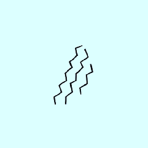 CCCCCC.CCCCCCCCCC.CCCCCCCCCCC